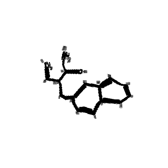 C=C[C@H](Cc1ccc2ccccc2c1)C(N)=O